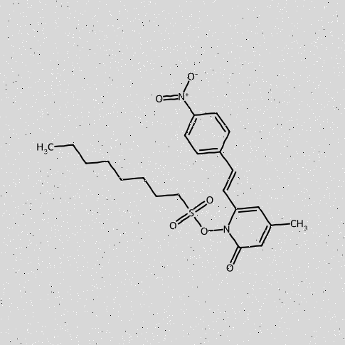 CCCCCCCCS(=O)(=O)On1c(C=Cc2ccc([N+](=O)[O-])cc2)cc(C)cc1=O